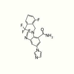 NC(=O)c1cc(-n2ccnc2)cc2ncn(Cc3c(F)cccc3C(F)(F)F)c12